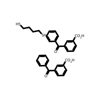 O=C(O)c1cccc(C(=O)c2ccccc2)c1.O=C(O)c1cccc(C(=O)c2ccccc2)c1.SCCCCS